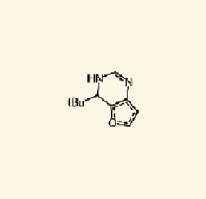 CC(C)(C)C1NC=Nc2ccoc21